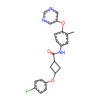 Cc1cc(NC(=O)C2CC(Oc3ccc(F)cc3)C2)ccc1Oc1cncnc1